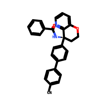 N#Cc1ccc(-c2ccc([C@]3(NC(=O)c4ccccc4)CCOc4cccnc43)cc2)cc1